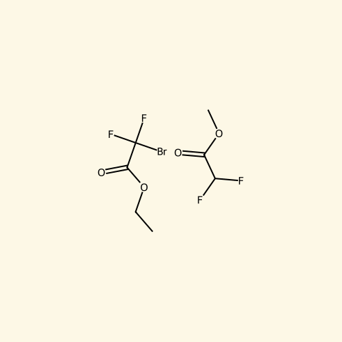 CCOC(=O)C(F)(F)Br.COC(=O)C(F)F